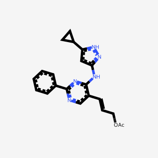 CC(=O)OC/C=C/c1cnc(-c2ccccc2)nc1Nc1cc(C2CC2)[nH]n1